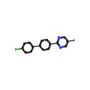 Fc1ccc(-c2ccc(-c3ncc(I)cn3)cc2)cc1